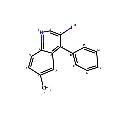 Cc1ccc2ncc(I)c(-c3ccccc3)c2c1